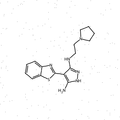 Nc1[nH]nc(NCCN2CCCC2)c1-c1nc2ccccc2s1